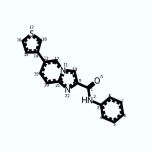 O=C(Nc1ccccc1)c1cn2cc(-c3ccsc3)ccc2n1